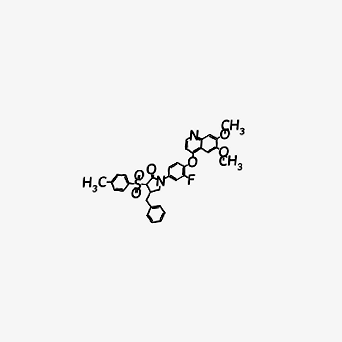 COc1cc2nccc(Oc3ccc(N4CC(Cc5ccccc5)C(S(=O)(=O)c5ccc(C)cc5)C4=O)cc3F)c2cc1OC